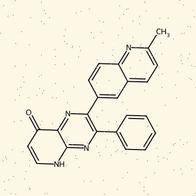 Cc1ccc2cc(-c3nc4c(=O)cc[nH]c4nc3-c3ccccc3)ccc2n1